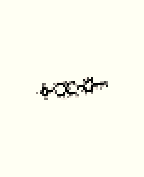 N#Cc1ccc(N2CCC3(CC2)CCN(C2CCC2)CC3)nn1